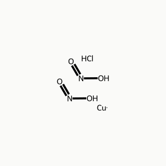 Cl.O=NO.O=NO.[Cu]